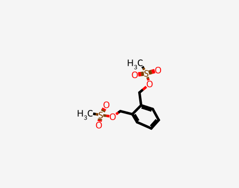 CS(=O)(=O)OCc1ccccc1COS(C)(=O)=O